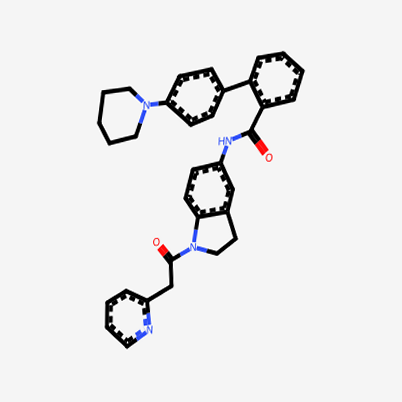 O=C(Nc1ccc2c(c1)CCN2C(=O)Cc1ccccn1)c1ccccc1-c1ccc(N2CCCCC2)cc1